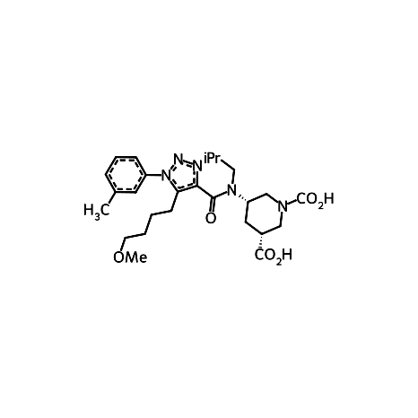 COCCCCc1c(C(=O)N(CC(C)C)[C@H]2C[C@@H](C(=O)O)CN(C(=O)O)C2)nnn1-c1cccc(C)c1